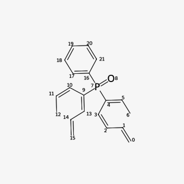 C=C/C=C\C(=C/C)P(=O)(C(/C=C\C)=C/C=C)c1ccccc1